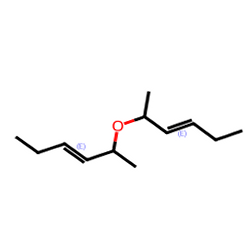 CC/C=C/C(C)OC(C)/C=C/CC